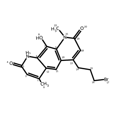 Cc1cc(=O)[nH]c2c(O)c3c(cc12)c(CCCBr)cc(=O)n3C